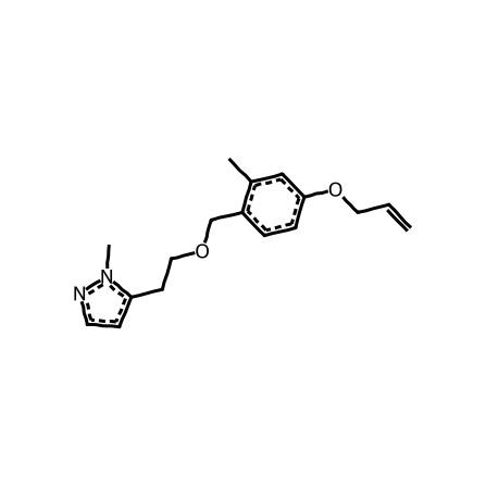 C=CCOc1ccc(COCCc2ccnn2C)c(C)c1